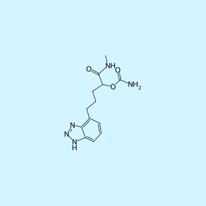 CNC(=O)C(CCCc1cccc2[nH]nnc12)OC(N)=O